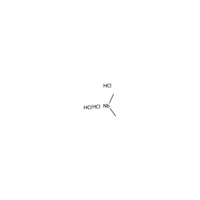 Cl.Cl.Cl.[CH3][Nb][CH3]